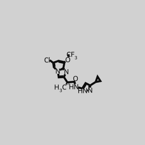 C[C@H](C(=O)Nc1cc(C2CC2)n[nH]1)c1cn2cc(Cl)cc(OC(F)(F)F)c2n1